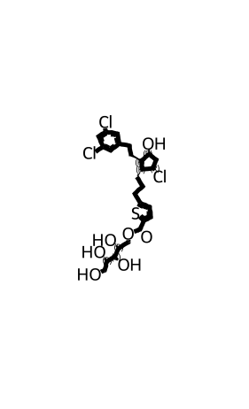 O=C(OC[C@@H](O)[C@@H](O)[C@H](O)CO)c1ccc(CCC[C@@H]2[C@@H](CCc3cc(Cl)cc(Cl)c3)[C@H](O)C[C@H]2Cl)s1